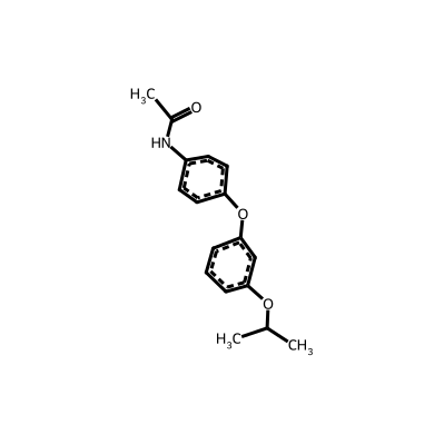 CC(=O)Nc1ccc(Oc2cccc(OC(C)C)c2)cc1